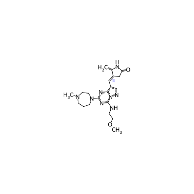 C=C1NC(=O)C/C1=C\c1cnn2c(NCCOC)nc(N3CCCN(C)CC3)nc12